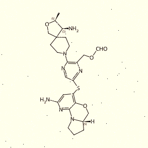 C[C@@H]1OCC2(CCN(c3ncc(Sc4cc(N)nc5c4OC[C@@H]4CCCN54)nc3COC=O)CC2)[C@@H]1N